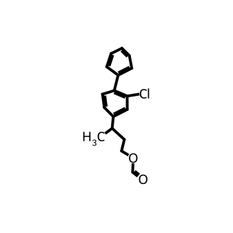 CC(CCOC=O)c1ccc(-c2ccccc2)c(Cl)c1